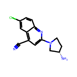 N#Cc1cc(N2CC[C@H](N)C2)nc2ccc(Cl)cc12